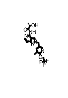 Cc1cc(Cn2cc3c(NC(=O)[C@@H](C)O)nccc3n2)cnc1OCC(F)(F)F